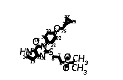 CC(C)S(=O)(=O)CCCSc1nc2cc[nH]c2c(=O)n1-c1ccc(OCC2CC2)cc1